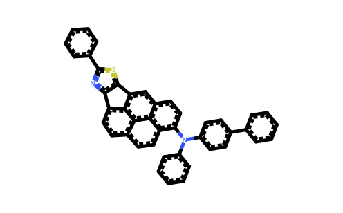 c1ccc(-c2ccc(N(c3ccccc3)c3ccc4cc5c6c(ccc7ccc3c4c76)-c3nc(-c4ccccc4)sc3-5)cc2)cc1